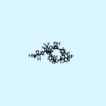 CCn1c(-c2cccnc2[C@H](C)OC)c2c3cc(ccc31)-c1cc(O)cc(c1)C[C@H](NC(=O)C(C(C)C)N(C)C(=O)[C@H]1C[C@H](NC(=O)[C@H]3CN3)C1)C(=O)N1CCC[C@H](N1)C(=O)OCC(C)(C)C2